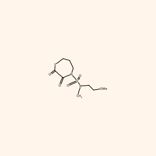 COCCN(C)S(=O)(=O)N1CC[CH]SC(=O)C1=O